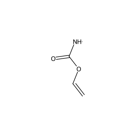 C=COC([NH])=O